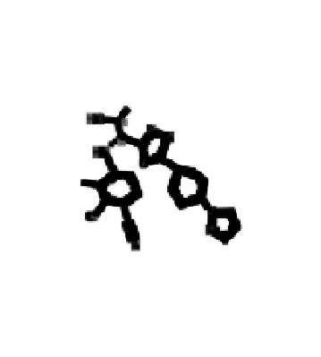 Cc1c(N[C@@H](c2nnc(-c3ccc(-n4cccn4)cc3)o2)[C@H](C)O)ccc(C#N)c1Cl